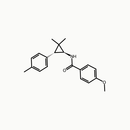 COc1ccc(C(=O)N[C@H]2[C@H](c3ccc(C)cc3)C2(C)C)cc1